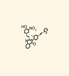 Cc1cc(C#Cc2cccs2)ccc1-n1c(C=Cc2ccc(O)c([N+](=O)[O-])c2)nc2ccccc2c1=O